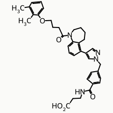 Cc1cccc(OCCCC(=O)N2CCCCc3c(-c4cnn(Cc5ccc(C(=O)NCCC(=O)O)cc5)c4)cccc32)c1C